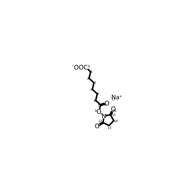 O=C([O-])CCCCCCC(=O)ON1C(=O)CCC1=O.[Na+]